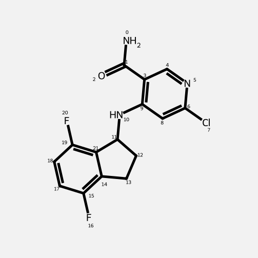 NC(=O)c1cnc(Cl)cc1NC1CCc2c(F)ccc(F)c21